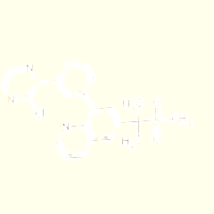 CC(C)(c1cc(-c2cccc(-c3nccnc3Cl)c2)c2ncccc2c1)S(C)(=O)=O